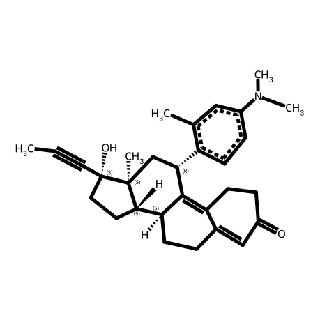 CC#C[C@]1(O)CC[C@H]2[C@@H]3CCC4=CC(=O)CCC4=C3[C@@H](c3ccc(N(C)C)cc3C)C[C@@]21C